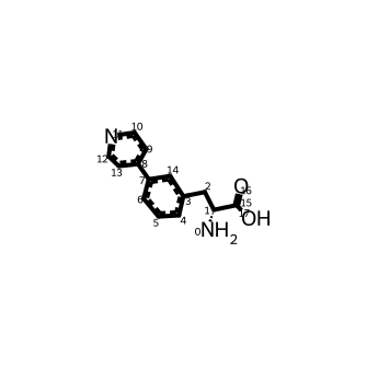 N[C@H](Cc1cccc(-c2ccncc2)c1)C(=O)O